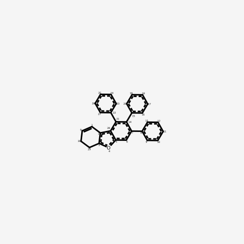 C1=Cc2c(oc3cc(-c4ccccc4)c(-c4ccccc4)c(-c4ccccc4)c23)CC1